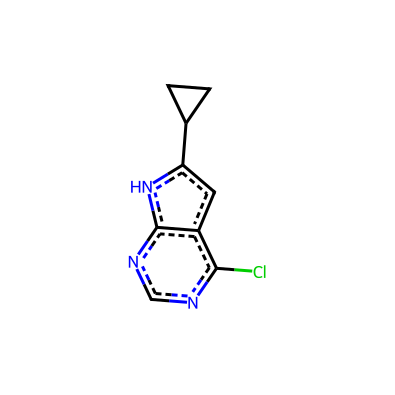 Clc1ncnc2[nH]c(C3CC3)cc12